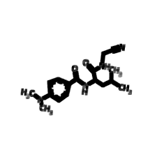 CC(C)CC(NC(=O)c1ccc(N(C)C)cc1)C(=O)NCC#N